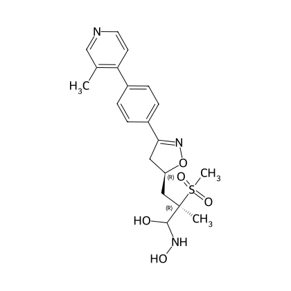 Cc1cnccc1-c1ccc(C2=NO[C@@H](C[C@](C)(C(O)NO)S(C)(=O)=O)C2)cc1